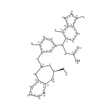 CC[C@@H]1CN(Cc2cc(C(CC(=O)O)c3ccc4c(nnn4C)c3C)ccc2C)Cc2cccnc2O1